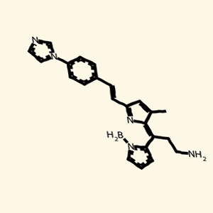 Bn1cccc1/C(CCN)=C1N=C(/C=C/c2ccc(-n3ccnc3)cc2)C=C\1C